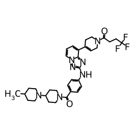 CC1CCN(C2CCN(C(=O)c3ccc(Nc4nc5c(C6=CCN(C(=O)CCC(F)(F)F)CC6)cccn5n4)cc3)CC2)CC1